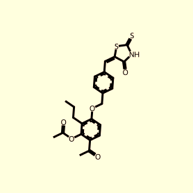 CCCc1c(OCc2ccc(C=C3SC(=S)NC3=O)cc2)ccc(C(C)=O)c1OC(C)=O